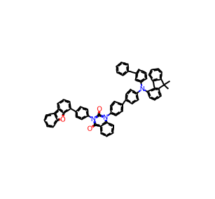 CC1(C)c2ccccc2-c2c(N(c3ccc(-c4ccc(-n5c(=O)n(-c6ccc(-c7cccc8c7oc7ccccc78)cc6)c(=O)c6ccccc65)cc4)cc3)c3cccc(-c4ccccc4)c3)cccc21